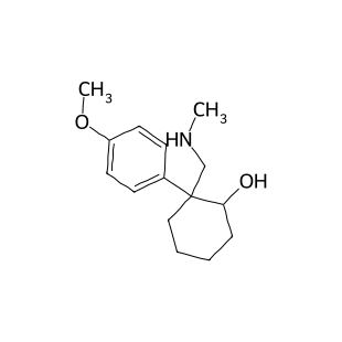 CNCC1(c2ccc(OC)cc2)CCCCC1O